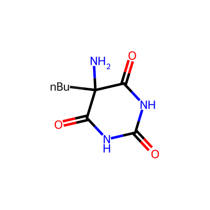 CCCCC1(N)C(=O)NC(=O)NC1=O